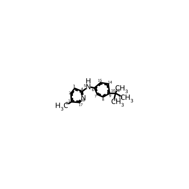 Cc1ccc(Nc2ccc(C(C)(C)C)cc2)nc1